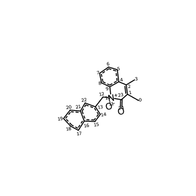 CC1=C(C)c2ccccc2[N+]([O-])(Cc2ccc3ccccc3c2)C1=O